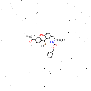 CCOC(=O)[C@@H](Cc1ccc(O)c(C(SCC)c2ccc(C(=O)OC)cc2)c1)NC(=O)OCc1ccccc1